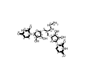 O=c1ccn([C@@H]2O[C@H](CP(C[C@H]3O[C@@H](n4ccc(=O)[nH]c4=O)[C@H](O)[C@@H]3O)PPP)[C@@H](O)[C@H]2O)c(=O)[nH]1